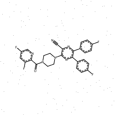 N#Cc1nc(-c2ccc(F)cc2)c(-c2ccc(F)cc2)nc1N1CCN(C(=O)c2ncc(F)cc2F)CC1